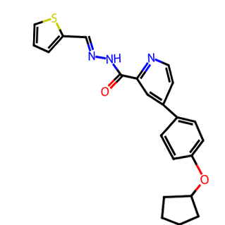 O=C(NN=Cc1cccs1)c1cc(-c2ccc(OC3CCCC3)cc2)ccn1